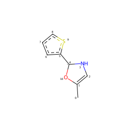 CC1=CN[C](c2cccs2)O1